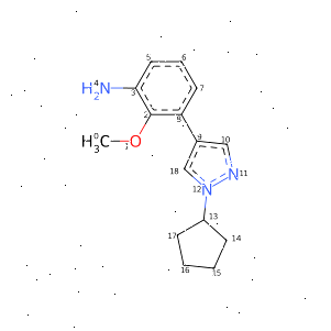 COc1c(N)cccc1-c1cnn(C2CCCC2)c1